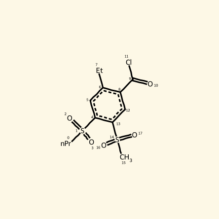 CCCS(=O)(=O)c1cc(CC)c(C(=O)Cl)cc1S(C)(=O)=O